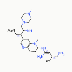 CN/C=C(\C(=N)CN1CCN(C)CC1)c1cnc2c(c1)N(C)C(N/C(N)=C/C(=C\N)C(C)C)C=C2